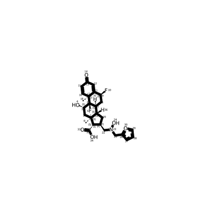 C[C@]12C[C@H](O)[C@@]3(F)[C@@H](C[C@H](F)C4=CC(=O)C=C[C@@]43C)[C@@H]1C[C@@H](CN(O)Cc1ccco1)[C@@H]2C(=O)O